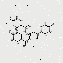 CC1=CCC(C(C)[CH2][Al]([CH2]C(C)C2CC=C(C)CC2)[CH2]C(C)C2CC=C(C)CC2)CC1